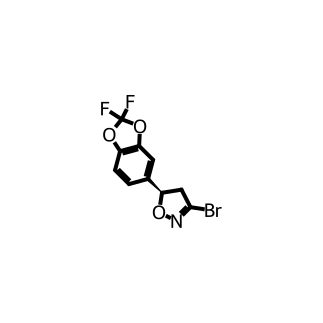 FC1(F)Oc2ccc([C@H]3CC(Br)=NO3)cc2O1